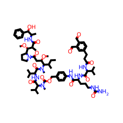 CCC(C)C(C(CC(=O)N1CCCC1C(OC)C(C)C(=O)NC(C)C(O)c1ccccc1)OC)N(C)C(=O)C(NC(=O)C(C(C)C)N(C)C(=O)OCc1ccc(NC(=O)C(CCCNC(N)=O)NC(=O)C(NC(=O)CCc2ccc(C=O)c(C=O)c2)C(C)C)cc1)C(C)C